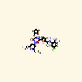 Cc1cc(NC(=O)[C@H](CC2CCCC2)NC(=O)c2ccc([C@H](C)Nc3cc(Cl)cnc3C)s2)cc(C)n1